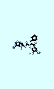 O=C(N[C@@H](Cc1ccccc1)C(=O)N1C[C@@H](O)[C@@H](O)C1)Oc1cc2occ(Br)c2[nH]1